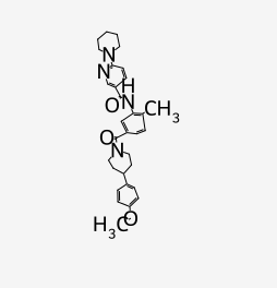 COc1ccc(C2CCN(C(=O)c3ccc(C)c(NC(=O)c4ccc(N5CCCCC5)nc4)c3)CC2)cc1